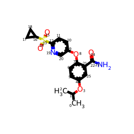 CC(C)Oc1ccc(Oc2ccc(S(=O)(=O)C3CC3)nc2)c(C(N)=O)c1